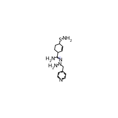 NSC1C=CC(/C(N)=N/N(N)Cc2ccncc2)CC1